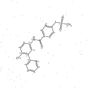 CS(=O)(=O)Cc1ccc(C(=O)Nc2ccc(Cl)c(-c3ccccn3)c2)cn1